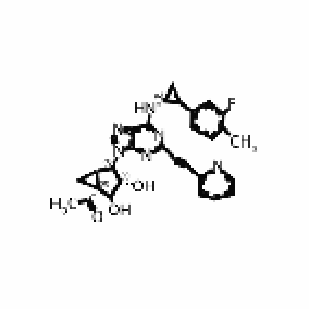 CC(=O)[C@]12CC1[C@@H](n1cnc3c(N[C@@H]4CC4c4ccc(C)c(F)c4)nc(C#Cc4ccccn4)nc31)[C@H](O)C2O